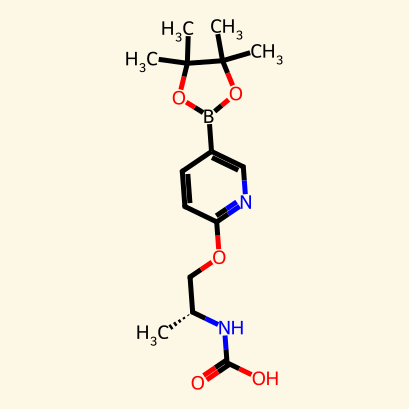 C[C@H](COc1ccc(B2OC(C)(C)C(C)(C)O2)cn1)NC(=O)O